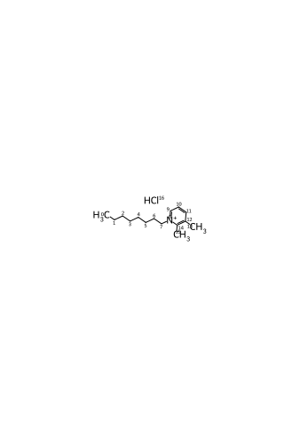 CCCCCCCC[n+]1cccc(C)c1C.Cl